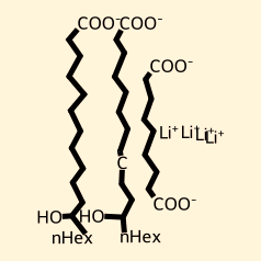 CCCCCCC(O)CCCCCCCCCCC(=O)[O-].CCCCCCC(O)CCCCCCCCCCC(=O)[O-].O=C([O-])CCCCCCCC(=O)[O-].[Li+].[Li+].[Li+].[Li+]